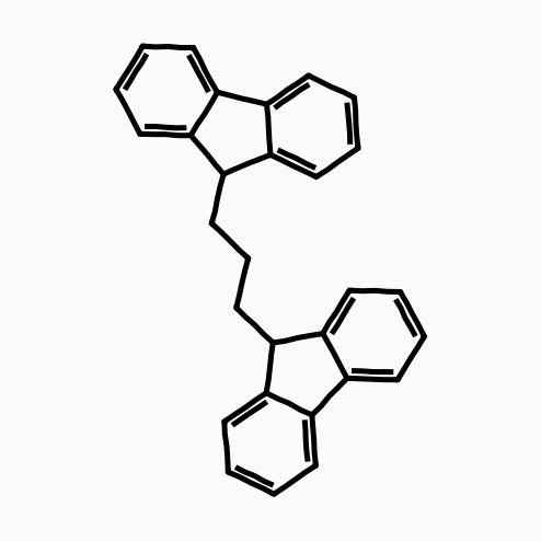 c1ccc2c(c1)-c1ccccc1C2CCCC1c2ccccc2-c2ccccc21